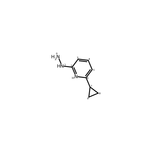 NNc1cccc(C2CC2)n1